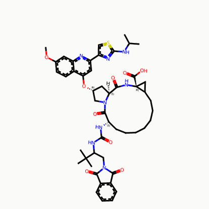 COc1ccc2c(O[C@@H]3C[C@H]4C(=O)N[C@]5(C(=O)O)CC5CCCCCCC[C@H](NC(=O)NC(CN5C(=O)c6ccccc6C5=O)C(C)(C)C)C(=O)N4C3)cc(-c3csc(NC(C)C)n3)nc2c1